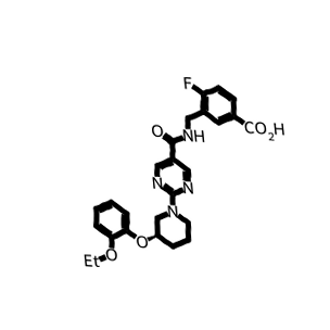 CCOc1ccccc1O[C@@H]1CCCN(c2ncc(C(=O)NCc3cc(C(=O)O)ccc3F)cn2)C1